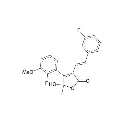 COc1cccc(C2=C(C=Cc3cccc(F)c3)C(=O)OC2(C)O)c1F